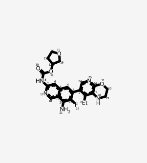 CCc1c(-c2cc3cc(NC(=O)OC4CCOC4)ncc3c(N)c2F)cnc2c1NCCO2